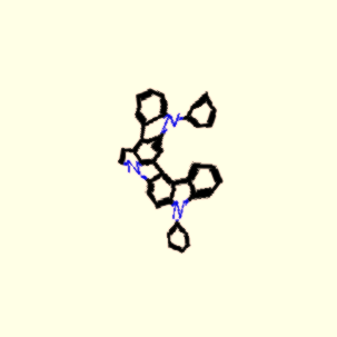 c1ccc(-n2c3ccccc3c3c4ccn5c6ccc7c(c8ccccc8n7-c7ccccc7)c6c(cc32)c45)cc1